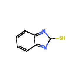 S[C]1N=c2ccccc2=N1